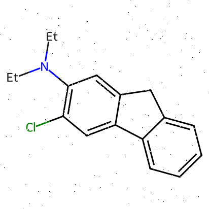 CCN(CC)c1cc2c(cc1Cl)-c1ccccc1C2